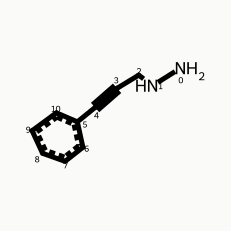 NNCC#Cc1ccccc1